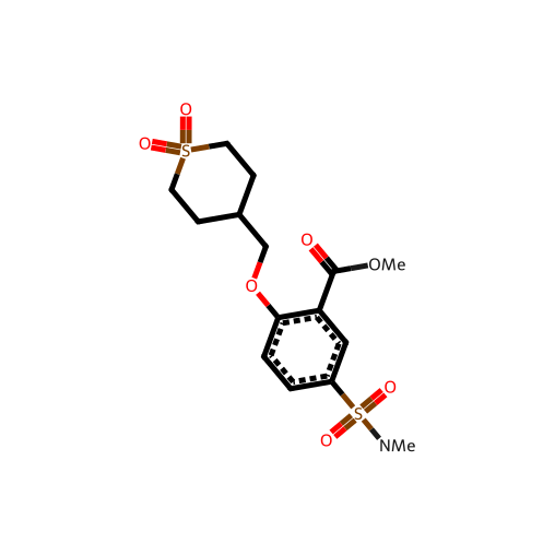 CNS(=O)(=O)c1ccc(OCC2CCS(=O)(=O)CC2)c(C(=O)OC)c1